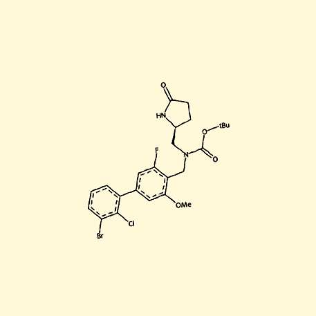 COc1cc(-c2cccc(Br)c2Cl)cc(F)c1CN(C[C@@H]1CCC(=O)N1)C(=O)OC(C)(C)C